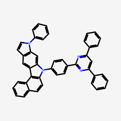 c1ccc(-c2cc(-c3ccccc3)nc(-c3ccc(-n4c5cc6c(ccn6-c6ccccc6)cc5c5c6ccccc6ccc54)cc3)n2)cc1